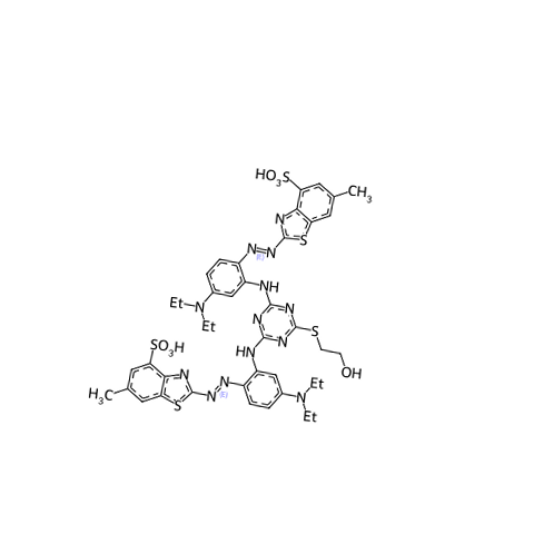 CCN(CC)c1ccc(/N=N/c2nc3c(S(=O)(=O)O)cc(C)cc3s2)c(Nc2nc(Nc3cc(N(CC)CC)ccc3/N=N/c3nc4c(S(=O)(=O)O)cc(C)cc4s3)nc(SCCO)n2)c1